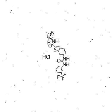 Cl.O=C(Nc1cccc(C(F)(F)F)c1)Nc1ccc2cc(C(=O)N[C@H]3CN4CCC3CC4)sc2c1